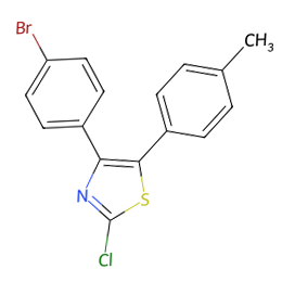 Cc1ccc(-c2sc(Cl)nc2-c2ccc(Br)cc2)cc1